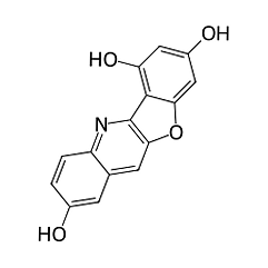 Oc1ccc2nc3c(cc2c1)oc1cc(O)cc(O)c13